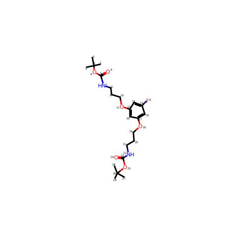 CC(C)(C)OC(=O)NCCCOc1cc(I)cc(OCCCNC(=O)OC(C)(C)C)c1